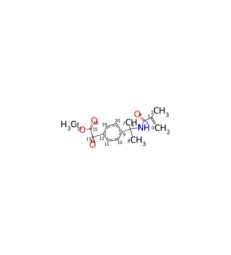 C=C(C)C(=O)NC(C)(C)c1ccc(C(=O)C(=O)OC)cc1